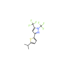 CC(C)c1ccc(-c2cc(C(F)(F)F)n(C(F)(F)F)n2)s1